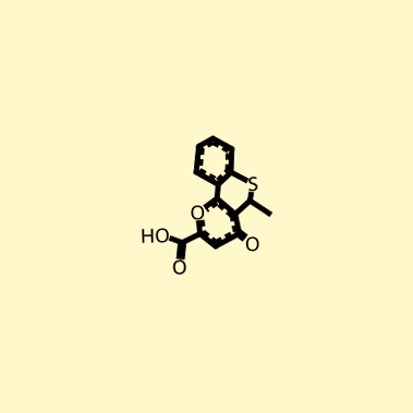 CC1Sc2ccccc2-c2oc(C(=O)O)cc(=O)c21